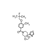 Cc1cc(C(=O)N2CC[C@]3(c4cscn4)OCOC3C2)ccc1OCC(C)(C)F